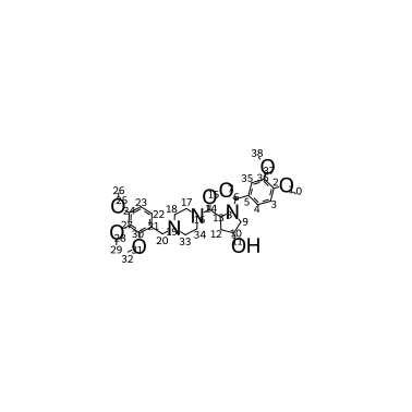 COc1ccc(C(=O)N2CC(O)CC2C(=O)N2CCN(Cc3ccc(OC)c(OC)c3OC)CC2)cc1OC